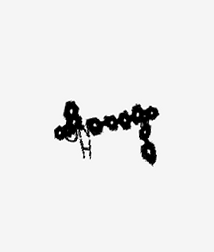 c1ccc(-c2ccc(-n3c4ccccc4c4ccc(-c5ccc(-c6ccc(-c7ccc(Nc8cc9ccccc9c9c8oc8ccccc89)cc7)cc6)cc5)cc43)cc2)cc1